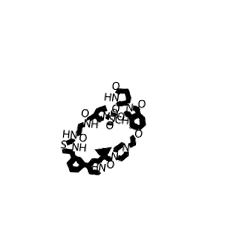 CS(=O)(=O)N1CCC(C(=O)NCC(=O)NC2NC(c3cccc(C4CCNC(C5(C(=O)N6CCN(CCOc7ccc8c(c7)C(=O)N(C7CCC(=O)NC7=O)C8=O)CC6)CC5)C4)c3)CS2)C1